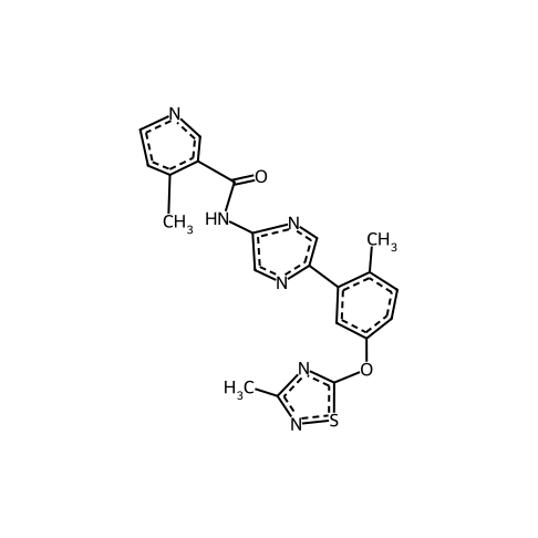 Cc1nsc(Oc2ccc(C)c(-c3cnc(NC(=O)c4cnccc4C)cn3)c2)n1